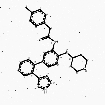 Cc1ccc(CC(=O)Nc2cc(-c3ccccc3-c3nn[nH]n3)ccc2SC2CCOCC2)cc1